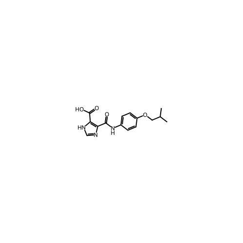 CC(C)COc1ccc(NC(=O)c2nc[nH]c2C(=O)O)cc1